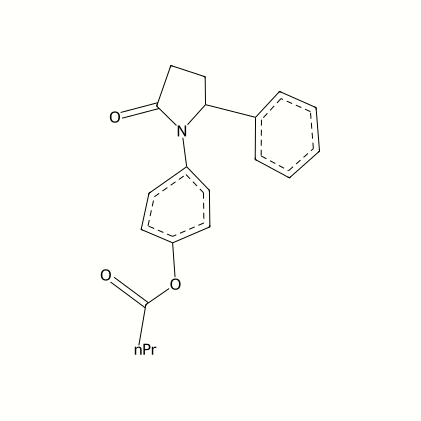 CCCC(=O)Oc1ccc(N2C(=O)CCC2c2ccccc2)cc1